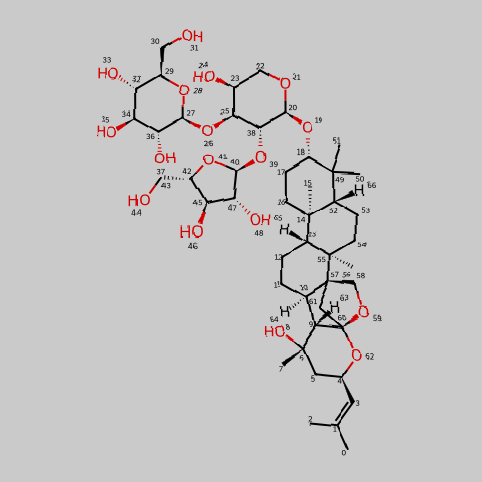 CC(C)=C[C@H]1C[C@](C)(O)[C@@H]2[C@H]3CC[C@@H]4[C@@]5(C)CC[C@H](O[C@@H]6OC[C@H](O)[C@H](O[C@@H]7O[C@H](CO)[C@@H](O)[C@H](O)[C@H]7O)[C@H]6O[C@@H]6O[C@@H](CO)[C@H](O)[C@H]6O)C(C)(C)[C@@H]5CC[C@@]4(C)[C@@]34CO[C@@]2(C4)O1